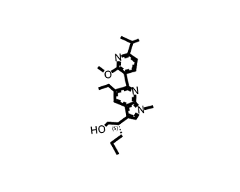 CCC[C@H](CO)c1cn(C)c2nc(-c3ccc(C(C)C)nc3OC)c(CC)cc12